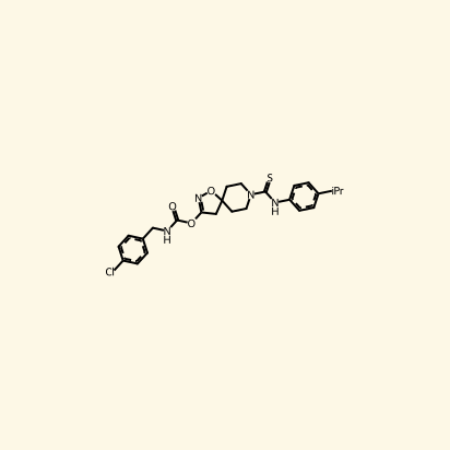 CC(C)c1ccc(NC(=S)N2CCC3(CC2)CC(OC(=O)NCc2ccc(Cl)cc2)=NO3)cc1